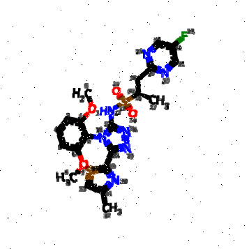 COc1cccc(OC)c1-n1c(NS(=O)(=O)[C@H](C)Cc2ncc(F)cn2)nnc1-c1nc(C)cs1